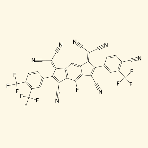 N#CC(C#N)=C1C(c2ccc(C#N)c(C(F)(F)F)c2)=C(C#N)c2c1cc1c(c2F)C(C#N)=C(c2ccc(C(F)(F)F)c(C(F)(F)F)c2)C1=C(C#N)C#N